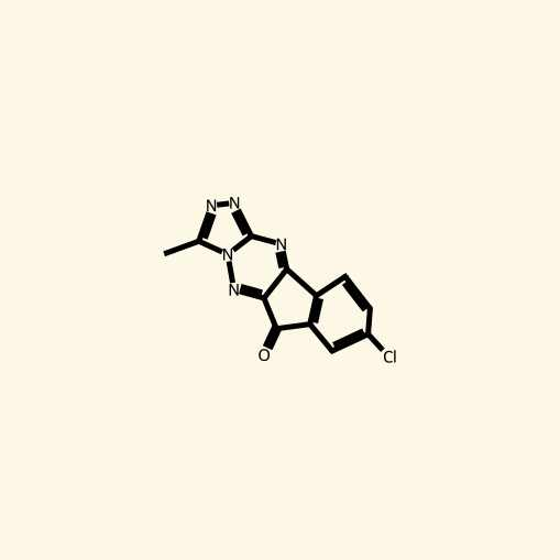 Cc1nnc2nc3c(nn12)C(=O)c1cc(Cl)ccc1-3